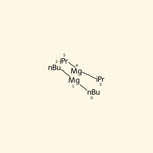 CCC[CH2][Mg][CH2]CCC.C[CH](C)[Mg][CH](C)C